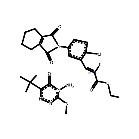 CCOC(=O)/C(Cl)=C/c1cc(N2C(=O)C3=C(CCCC3)C2=O)ccc1Cl.CSc1nnc(C(C)(C)C)c(=O)n1N